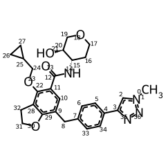 Cn1cc(-c2ccc(Cc3cc(C(=O)N[C@H]4CCOC[C@@H]4O)c(OCC4CC4)c4c3OCC4)cc2)nn1